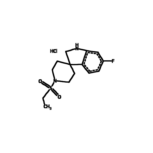 CCS(=O)(=O)N1CCC2(CC1)CNc1cc(F)ccc12.Cl